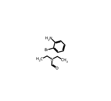 CCN(C=O)CC.Nc1ccccc1Br